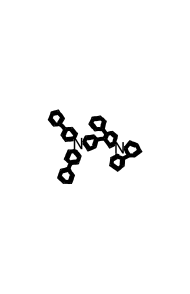 C1=CC2c3ccccc3N(c3ccc(-c4ccccc4)c(-c4ccc(N(c5ccc(-c6ccccc6)cc5)c5ccc(-c6ccccc6)cc5)cc4)c3)C2C=C1